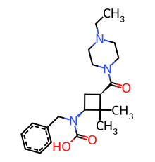 CCN1CCN(C(=O)[C@@H]2C[C@H](N(Cc3ccccc3)C(=O)O)C2(C)C)CC1